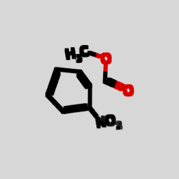 COC=O.O=[N+]([O-])c1ccccc1